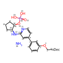 CCCCCCCCCCCOc1cccc(-c2ccnc(N[C@H]3CCC[C@H]3OP(=O)(O)O)c2)c1.N